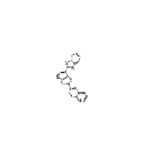 c1cnc2ccc(-c3cc4scc(-c5nc6ccccc6s5)c4s3)cc2c1